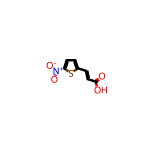 O=C(O)C=Cc1ccc([N+](=O)[O-])s1